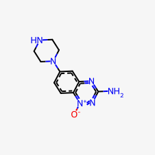 Nc1nc2cc(N3CCNCC3)ccc2[n+]([O-])n1